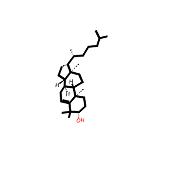 CC(C)CCC[C@@H](C)[C@H]1CC[C@H]2[C@@H]3CC=C4C(C)(C)[C@@H](O)CC[C@]4(C)[C@H]3CC[C@]12C